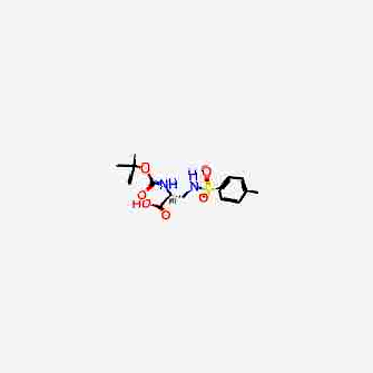 Cc1ccc(S(=O)(=O)NC[C@@H](NC(=O)OC(C)(C)C)C(=O)O)cc1